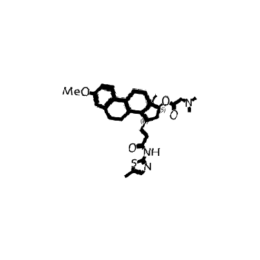 COc1ccc2c(c1)CCC1C2CC[C@@]2(C)C1[C@H](CCC(=O)Nc1ncc(C)s1)C[C@@H]2OC(=O)CN(C)C